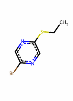 CCSc1cnc(Br)cn1